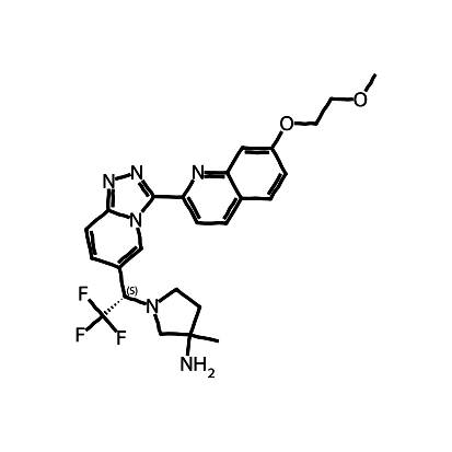 COCCOc1ccc2ccc(-c3nnc4ccc([C@H](N5CCC(C)(N)C5)C(F)(F)F)cn34)nc2c1